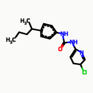 CCCC(C)c1ccc(NC(=O)NC2=CCC(Cl)C=N2)cc1